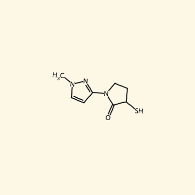 Cn1ccc(N2CCC(S)C2=O)n1